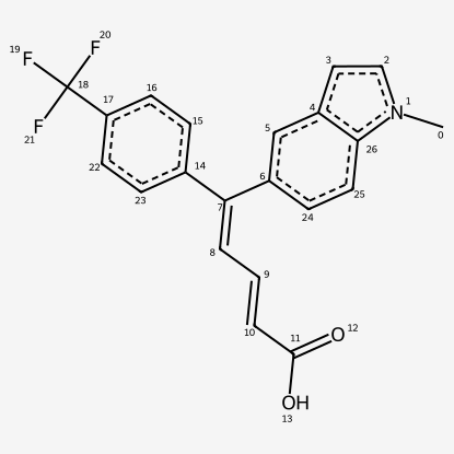 Cn1ccc2cc(/C(=C\C=C\C(=O)O)c3ccc(C(F)(F)F)cc3)ccc21